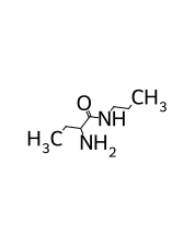 CCCNC(=O)C(N)CC